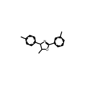 Cc1ccc(C2N=C(c3cccc(C)c3)OC2C)cc1